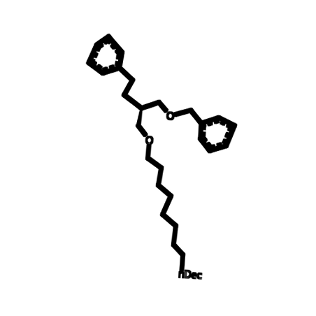 CCCCCCCCCCCCCCCCCCOC[C@@H](CCc1ccccc1)COCc1ccccc1